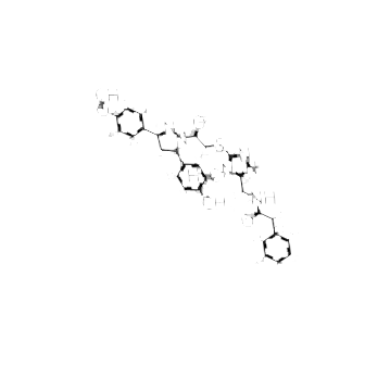 COc1ccc(C2=NN(C(=O)CSc3nnc(CNC(=O)Cc4ccccc4)n3C)C(c3ccc(C)cc3)C2)cc1